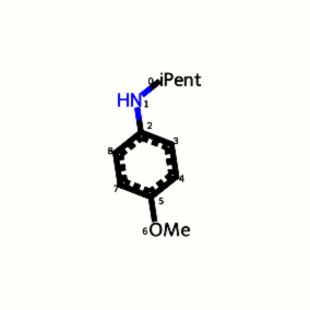 CCCC(C)Nc1ccc(OC)cc1